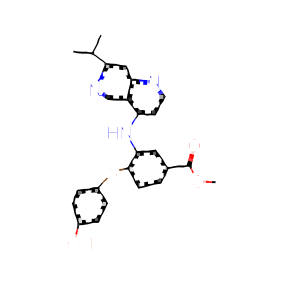 COC(=O)c1ccc(Sc2ccc(O)cc2)c(Nc2ccnc3cc(C(C)C)ncc23)c1